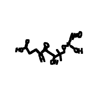 CC(C)(COP(O)N=O)C(O)C(=O)NCCC(=O)O